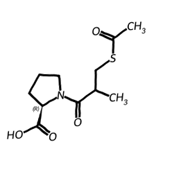 CC(=O)SCC(C)C(=O)N1CCC[C@@H]1C(=O)O